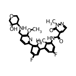 COc1nc(-c2cc(F)cc(-c3cc(F)cc(NC(=O)c4ccnn(C)c4=O)c3C)c2Cl)ccc1CNC1CCOC[C@@H]1O